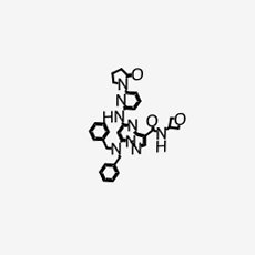 O=C(NC1COC1)c1cnn2c(N(Cc3ccccc3)Cc3ccccc3)cc(Nc3cccc(N4CCCC4=O)n3)nc12